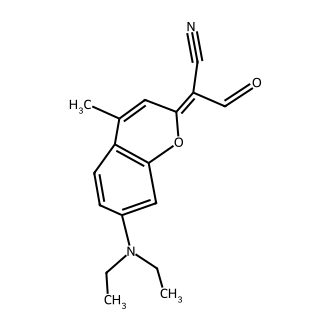 CCN(CC)c1ccc2c(c1)O/C(=C(/C#N)C=O)C=C2C